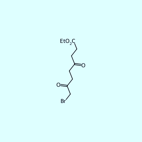 CCOC(=O)CCC(=O)CCC(=O)CBr